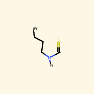 CCN([C]=S)CCCC(C)C